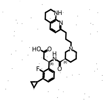 O=C(O)C[C@@H](NC(=O)[C@@H]1CCCN(CCCc2ccc3c(n2)NCCC3)C1)c1cccc(C2CC2)c1F